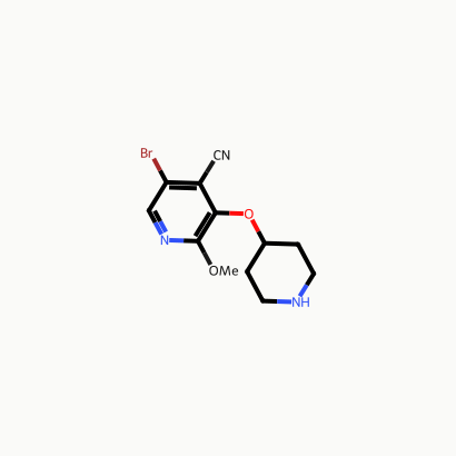 COc1ncc(Br)c(C#N)c1OC1CCNCC1